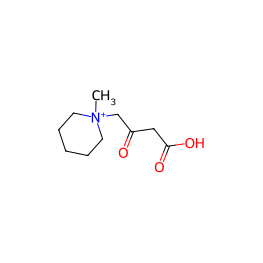 C[N+]1(CC(=O)CC(=O)O)CCCCC1